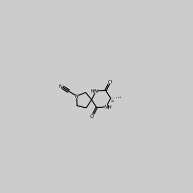 C[C@@H]1NC(=O)C2(CCN(C#N)C2)NC1=O